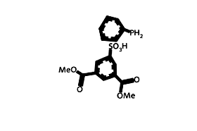 COC(=O)c1cc(C(=O)OC)cc(S(=O)(=O)O)c1.Pc1ccccc1